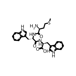 CSCC[C@H](N)C(=O)N[C@@H](Cc1c[nH]c2ccccc12)C(=O)N[C@@H](Cc1c[nH]c2ccccc12)C(=O)O